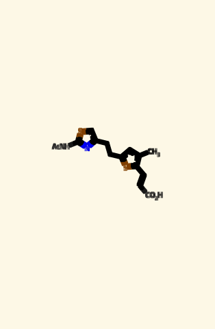 CC(=O)Nc1nc(CCc2cc(C)c(C=CC(=O)O)s2)cs1